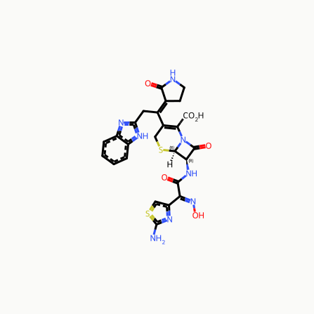 Nc1nc(C(=NO)C(=O)N[C@@H]2C(=O)N3C(C(=O)O)=C(C(Cc4nc5ccccc5[nH]4)=C4CCNC4=O)CS[C@H]23)cs1